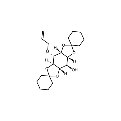 C=CCO[C@@H]1[C@@H]2OC3(CCCCC3)O[C@@H]2[C@@H](O)[C@@H]2OC3(CCCCC3)O[C@@H]12